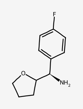 N[C@H](c1ccc(F)cc1)C1CCCO1